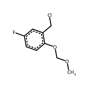 COCOc1ccc(F)cc1CCl